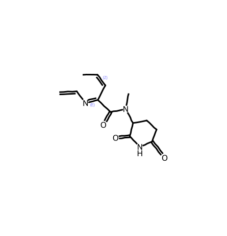 C=C/N=C(\C=C/C)C(=O)N(C)C1CCC(=O)NC1=O